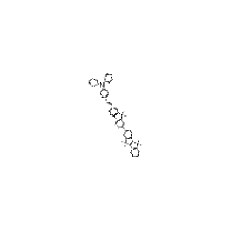 CC1(C)C2=C(c3ccccc31)C(C)(C)c1cc(-c3ccc4c(c3)C(C)(C)c3cc(/C=C/c5ccc(N(c6ccccc6)c6ccccc6)cc5)ccc3-4)ccc12